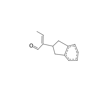 CC=C(C=O)C1Cc2ccccc2C1